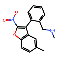 CNCc1ccccc1-c1c([N+](=O)[O-])oc2ccc(C)cc12